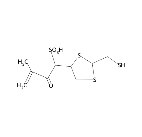 C=C(C)C(=O)C(C1CSC(CS)S1)S(=O)(=O)O